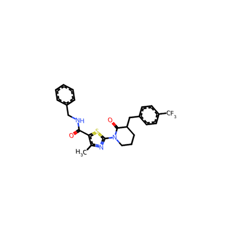 Cc1nc(N2CCCC(Cc3ccc(C(F)(F)F)cc3)C2=O)sc1C(=O)NCc1ccccc1